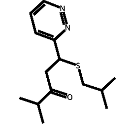 CC(C)CSC(CC(=O)C(C)C)c1cccnn1